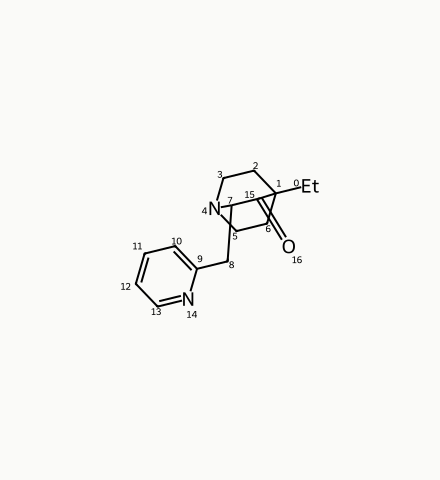 CCC12CCN(CC1)C(Cc1ccccn1)C2=O